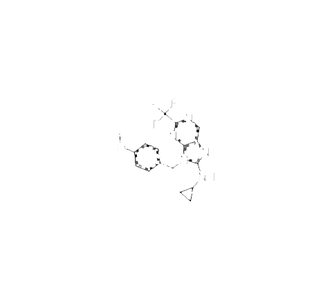 COc1ccc(Cn2c(NC3CC3)nc3cnc(C(F)(F)F)nc32)cc1